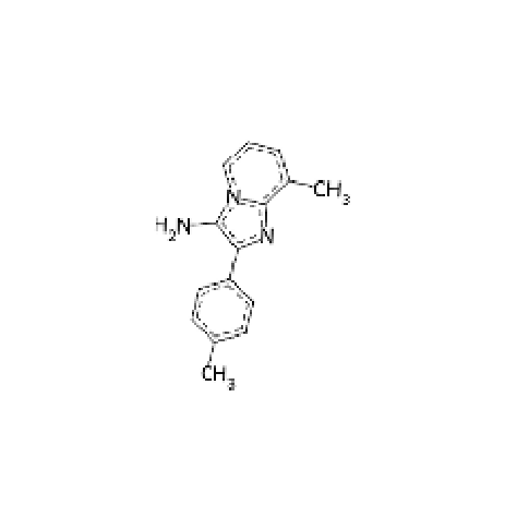 Cc1ccc(-c2nc3c(C)cccn3c2N)cc1